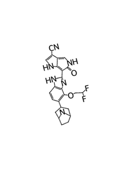 CN1C2CCC1CC(c1ccc3[nH]c(-c4c(=O)[nH]cc5c(C#N)c[nH]c45)nc3c1OCC(F)F)C2